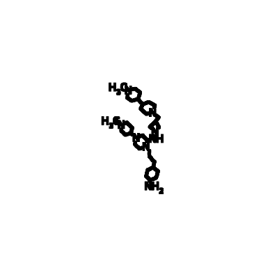 CN1CCC(C2CCN(CC3CN(NC4CN(C5CCN(C)CC5)CCN4CCCC4CCC(N)CC4)C3)CC2)CC1